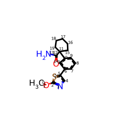 COc1ncc(-c2cccc(C3(C(N)=O)CCCCC3)c2)s1